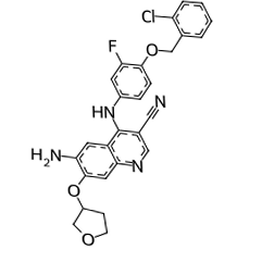 N#Cc1cnc2cc(OC3CCOC3)c(N)cc2c1Nc1ccc(OCc2ccccc2Cl)c(F)c1